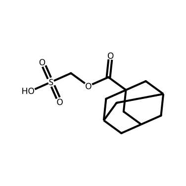 O=C(OCS(=O)(=O)O)C12CC3CC(CC(C3)C1)C2